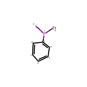 CCP(I)c1ccccc1